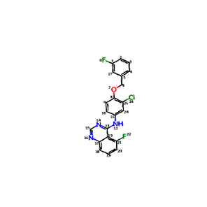 Fc1cccc(COc2ccc(Nc3ncnc4cccc(F)c34)cc2Cl)c1